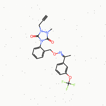 C#CCn1c(=O)n(-c2ccccc2CON=C(C)c2cccc(OC(F)(F)F)c2)c(=O)n1C